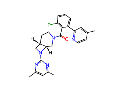 Cc1ccnc(-c2cccc(F)c2C(=O)N2CC[C@H]3CN(c4nc(C)cc(C)n4)[C@H]3C2)c1